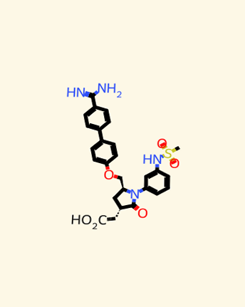 CS(=O)(=O)Nc1cccc(N2C(=O)[C@H](CC(=O)O)C[C@H]2COc2ccc(-c3ccc(C(=N)N)cc3)cc2)c1